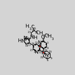 COc1ccc(CN2C3CC2CN(c2ccc(-c4c[nH]nc4NCC(C)C)cn2)C3)cn1